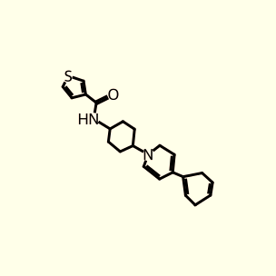 O=C(NC1CCC(N2C=CC(C3=CCC=CC3)=CC2)CC1)c1ccsc1